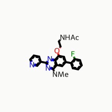 CNc1nc(-c2cccnc2)nc2c(OCCNC(C)=O)cc(-c3ccccc3F)cc12